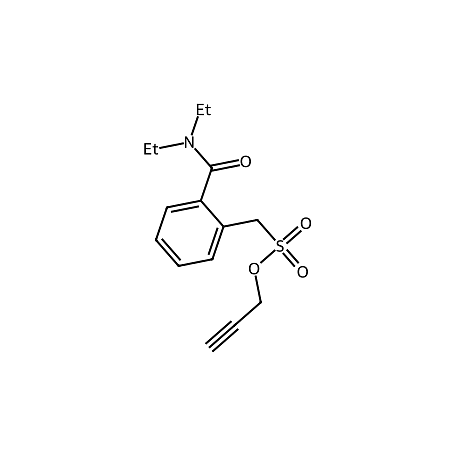 C#CCOS(=O)(=O)Cc1ccccc1C(=O)N(CC)CC